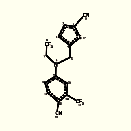 N#Cc1ccc(CN(CC(F)(F)F)c2ccc(C#N)c(C(F)(F)F)c2)s1